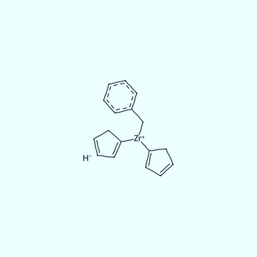 C1=CC[C]([Zr+]([CH2]c2ccccc2)[C]2=CC=CC2)=C1.[H-]